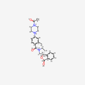 CCC(=O)N1CCN(c2ccc(C(=O)N3CC[C@@]4(C3)OC(=O)c3ccccc34)c(C)c2)CC1